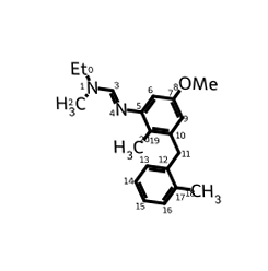 CCN(C)/C=N/c1cc(OC)cc(Cc2ccccc2C)c1C